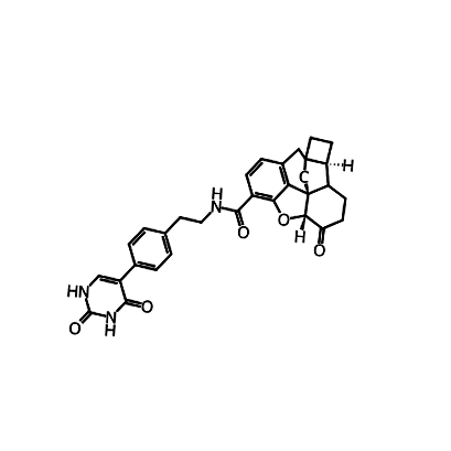 O=C(NCCc1ccc(-c2c[nH]c(=O)[nH]c2=O)cc1)c1ccc2c3c1O[C@H]1C(=O)CCC4[C@@H]5CCC5(C2)C[C@@]341